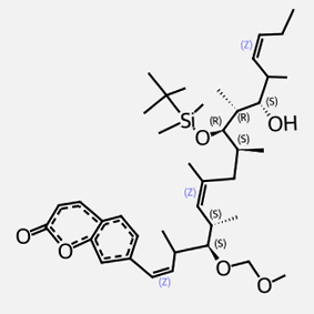 CC/C=C\C(C)[C@H](O)[C@@H](C)[C@H](O[Si](C)(C)C(C)(C)C)[C@@H](C)C/C(C)=C\[C@H](C)[C@@H](OCOC)C(C)/C=C\c1ccc2ccc(=O)oc2c1